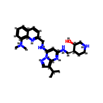 CC(C)c1cnn2c(NCc3ccc4cccc(N(C)C)c4n3)cc(NC[C@H]3CCNC[C@@H]3O)nc12